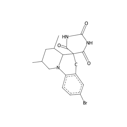 CC1CC(C)C2N(C1)c1ccc(Br)cc1CC21C(=O)NC(=O)NC1=O